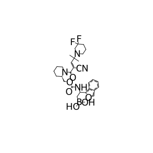 CC(C)(C=C(C#N)C(=O)N1CCCC[C@@H]1COC(=O)NC(CB(O)O)c1occ2ccccc12)N1CCCC(F)(F)C1